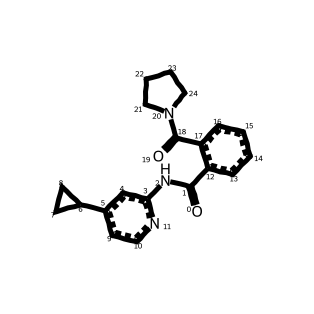 O=C(Nc1cc(C2CC2)ccn1)c1ccccc1C(=O)N1CCCC1